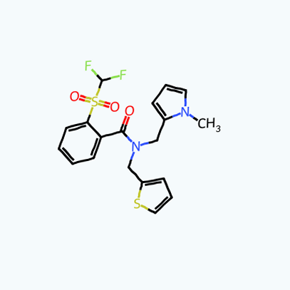 Cn1cccc1CN(Cc1cccs1)C(=O)c1ccccc1S(=O)(=O)C(F)F